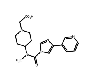 CN(C(=O)n1cnc(-c2cccnc2)c1)C1CCN(CC(=O)O)CC1